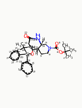 CC(C)(C)OC(=O)N1CC[C@@H]2C(O[Si](c3ccccc3)(c3ccccc3)C(C)(C)C)CC(=O)N[C@@H]2C1